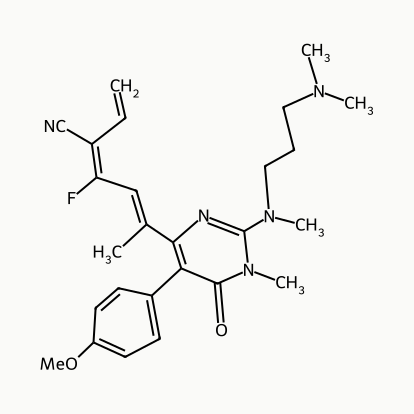 C=C/C(C#N)=C(F)\C=C(/C)c1nc(N(C)CCCN(C)C)n(C)c(=O)c1-c1ccc(OC)cc1